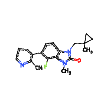 Cn1c(=O)n(CC2(C)CC2)c2ccc(-c3cccnc3C#N)c(F)c21